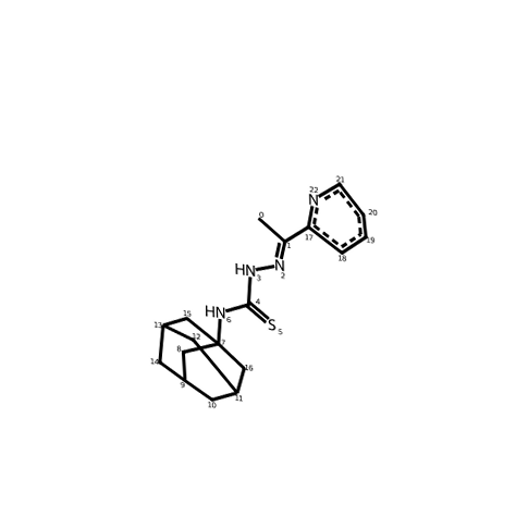 C/C(=N\NC(=S)NC12CC3CC(CC(C3)C1)C2)c1ccccn1